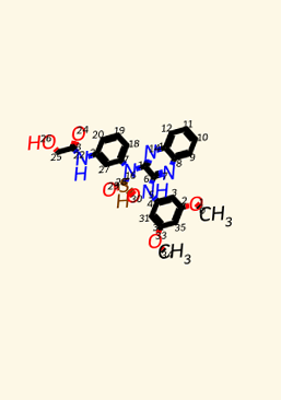 COc1cc(Nc2nc3ccccc3nc2N(c2cccc(NC(=O)CO)c2)[SH](=O)=O)cc(OC)c1